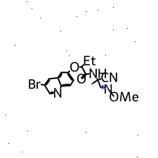 CCC(Oc1ccc2ncc(Br)cc2c1)C(=O)NC(C)(C#N)/C=N/OC